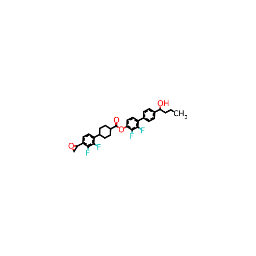 CCCC(O)c1ccc(-c2ccc(OC(=O)C3CCC(c4ccc(C5CO5)c(F)c4F)CC3)c(F)c2F)cc1